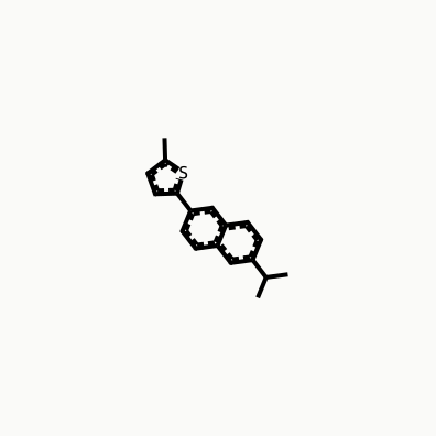 Cc1ccc(-c2ccc3cc(C(C)C)ccc3c2)s1